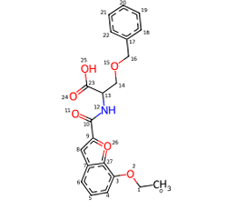 CCOc1cccc2cc(C(=O)NC(COCc3ccccc3)C(=O)O)oc12